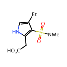 CCc1c[nH]c(CC(=O)O)c1S(=O)(=O)NC